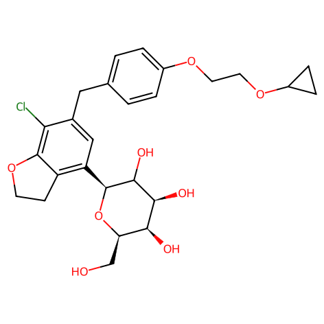 OC[C@H]1O[C@@H](c2cc(Cc3ccc(OCCOC4CC4)cc3)c(Cl)c3c2CCO3)C(O)[C@@H](O)[C@H]1O